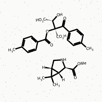 COC(=O)[C@@H]1NC[C@@H]2[C@H]1C2(C)C.Cc1ccc(C(=O)O[C@](C(=O)O)(C(=O)c2ccc(C)cc2)[C@@H](O)C(=O)O)cc1